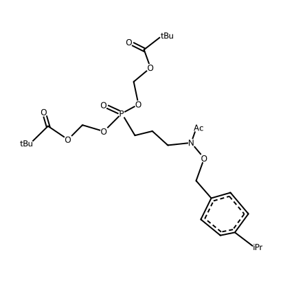 CC(=O)N(CCCP(=O)(OCOC(=O)C(C)(C)C)OCOC(=O)C(C)(C)C)OCc1ccc(C(C)C)cc1